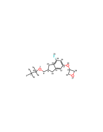 CC(C)(C)[Si](C)(C)OCC1Cc2cc(OC3COC3)cc(F)c2C1